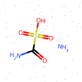 N.NC(=O)S(=O)(=O)O